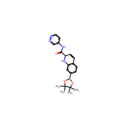 CC1(C)OB(c2ccc3c(c2)NC(C(=O)Nc2ccnnc2)C=C3)OC1(C)C